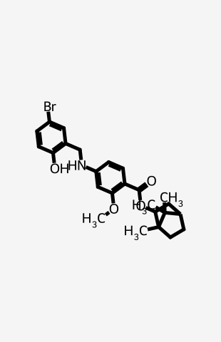 COc1cc(NCc2cc(Br)ccc2O)ccc1C(=O)OC1CC2CCC1(C)C2(C)C